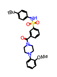 COc1ccccc1N1CCN(C(=O)c2cccc(S(=O)(=O)Nc3ccc(C(C)(C)C)cc3)c2)CC1